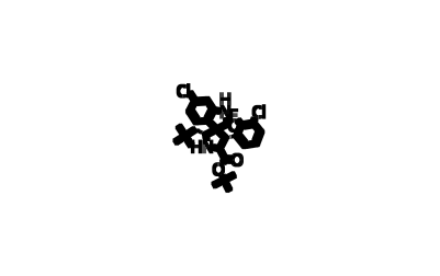 CC(C)(C)C[C@H]1NC(C(=O)OC(C)(C)C)[C@@H](c2cccc(Cl)c2F)C12C(=O)Nc1cc(Cl)ccc12